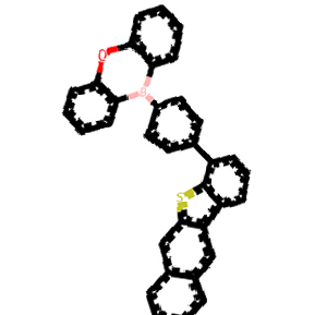 c1ccc2c(c1)Oc1ccccc1B2c1ccc(-c2cccc3c2sc2cc4ccccc4cc23)cc1